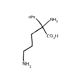 CCCC(N)(CCCN)C(=O)O